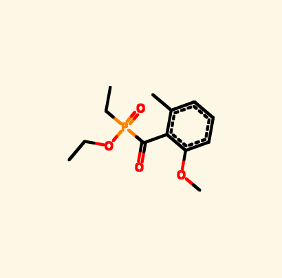 CCOP(=O)(CC)C(=O)c1c(C)cccc1OC